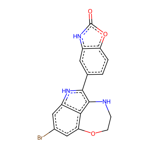 O=c1[nH]c2cc(-c3[nH]c4cc(Br)cc5c4c3NCCO5)ccc2o1